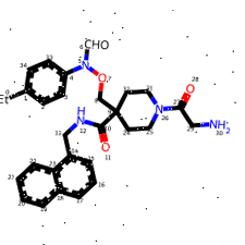 CCc1ccc(N(C=O)OCC2(C(=O)NCc3cccc4ccccc34)CCN(C(=O)CN)CC2)cc1